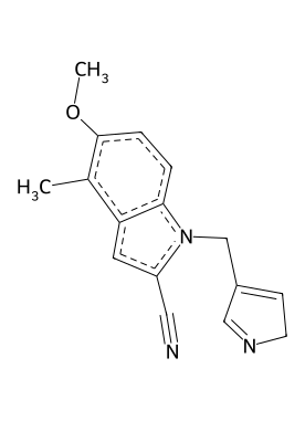 COc1ccc2c(cc(C#N)n2CC2=CCN=C2)c1C